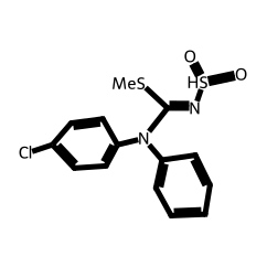 CSC(=N[SH](=O)=O)N(c1ccccc1)c1ccc(Cl)cc1